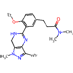 CCCc1nn(C)c2c1N=C(c1cc(CCC(=O)N(C)C)ccc1OCC)NC2